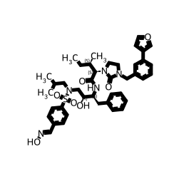 CC[C@H](C)[C@@H](C(=O)N[C@@H](Cc1ccccc1)[C@H](O)CN(CC(C)C)S(=O)(=O)c1ccc(C=NO)cc1)N1CCN(Cc2cccc(-c3ccoc3)c2)C1=O